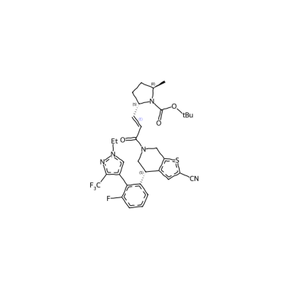 CCn1cc(-c2c(F)cccc2[C@@H]2CN(C(=O)/C=C/[C@@H]3CC[C@@H](C)N3C(=O)OC(C)(C)C)Cc3sc(C#N)cc32)c(C(F)(F)F)n1